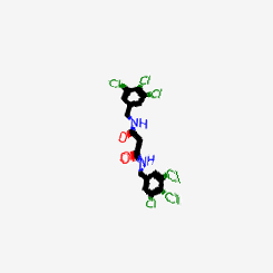 O=C(CC(=O)NCc1cc(Cl)c(Cl)c(Cl)c1)NCc1cc(Cl)c(Cl)c(Cl)c1